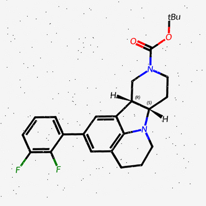 CC(C)(C)OC(=O)N1CC[C@H]2[C@@H](C1)c1cc(-c3cccc(F)c3F)cc3c1N2CCC3